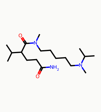 CC(C)C(CCC(N)=O)C(=O)N(C)CCCCCN(C)C(C)C